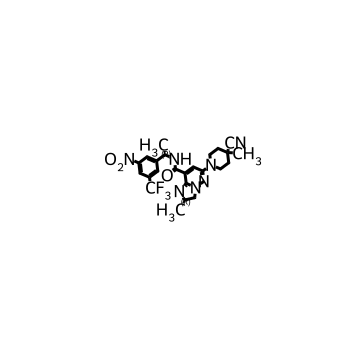 C[C@@H]1CN2N=C(N3CCC(C)(C#N)CC3)C=C(C(=O)N[C@H](C)c3cc([N+](=O)[O-])cc(C(F)(F)F)c3)C2=N1